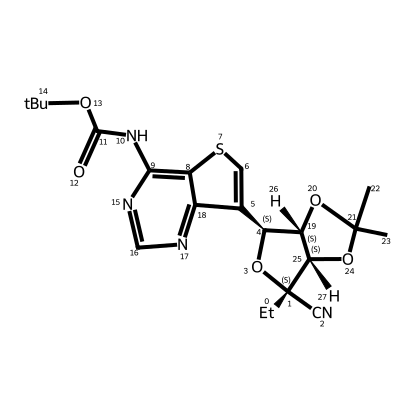 CC[C@@]1(C#N)O[C@@H](c2csc3c(NC(=O)OC(C)(C)C)ncnc23)[C@@H]2OC(C)(C)O[C@@H]21